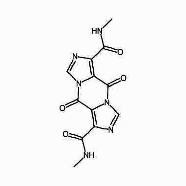 CNC(=O)c1ncn2c(=O)c3c(C(=O)NC)ncn3c(=O)c12